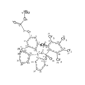 Cc1cc(OCC(=O)OC(C)(C)C)cc(C)c1S(OS(=O)(=O)c1c(C(F)(F)F)c(C(F)(F)F)c(C(F)(F)F)c(C(F)(F)F)c1C(F)(F)F)(c1ccccc1)c1ccccc1